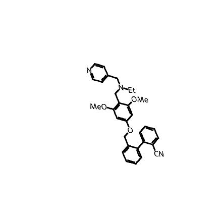 CCN(Cc1ccncc1)Cc1c(OC)cc(OCc2ccccc2-c2ccccc2C#N)cc1OC